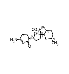 CC(C)[C@@H]1CC[C@@H](C)C[C@H]1[C@@]1(C(=O)O)O[C@H](n2ccc(N)nc2=O)CS1